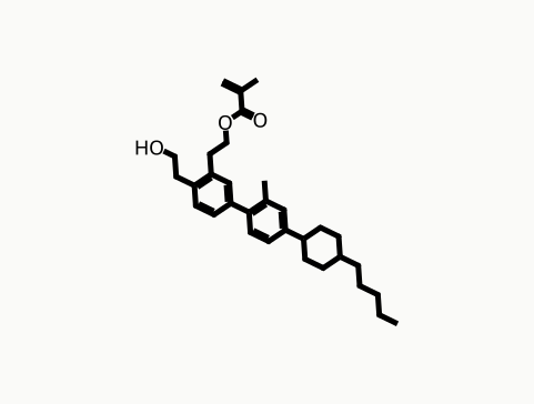 C=C(C)C(=O)OCCc1cc(-c2ccc(C3CCC(CCCCC)CC3)cc2C)ccc1CCO